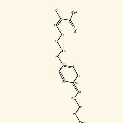 CC(=CCCSCC1=CCC(=CSCCO)C=C1)C(=O)O